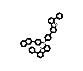 c1ccc(-c2cccc3c2oc2ccc(-c4ccc(N(c5ccc(-c6ccc7ccccc7c6)cc5)c5cccc6c5oc5c(-c7ccccc7)cccc56)cc4)cc23)cc1